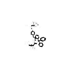 CCC(C)(C)Cc1cn(C(c2ccccc2)(c2ccccc2)c2ccccc2)c(CCc2ccc(B3OC(C)(C)C(C)(C)O3)cc2F)n1